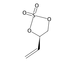 C=C[C@@H]1COS(=O)(=O)O1